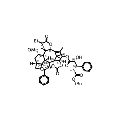 CCSC(=O)O[C@H]1C(=O)[C@]2(C)[C@@H](OC)C[C@H]3CC[C@@]3(OC(C)=O)[C@H]2[C@H](OC(=O)c2ccccc2)[C@]23OC(=O)O[C@H]2[C@H](OC(=O)[C@H](O)[C@@H](NC(=O)OC(C)(C)C)c2ccccc2)C(C)=C1C3(C)C